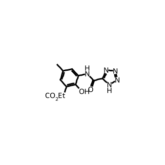 CCOC(=O)c1cc(C)cc(NC(=O)c2nnn[nH]2)c1O